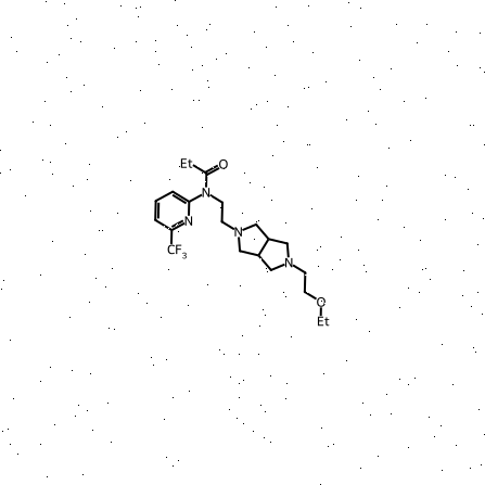 CCOCCN1CC2CN(CCN(C(=O)CC)c3cccc(C(F)(F)F)n3)CC2C1